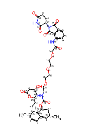 C[C@H]1C=C2C=C[C@H](C)[C@H](CC[C@@H]3C[C@@H](O)CC(=O)O3)[C@H]2[C@@H](OC(=O)NCCOCCOCCOCC(=O)Nc2cccc3c2C(=O)N(C2CCC(=O)NC2=O)C3=O)C1